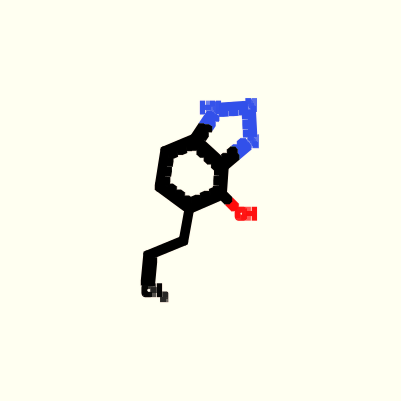 C=CCc1ccc2[nH]nnc2c1O